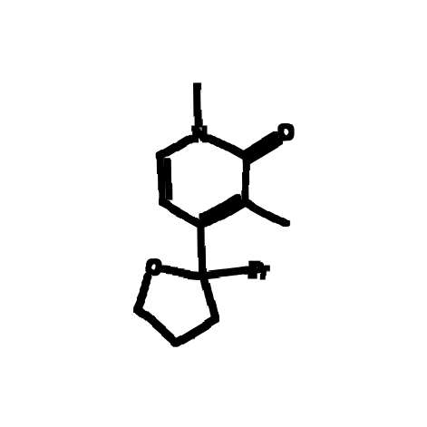 Cc1c(C2(C(C)C)CCCO2)ccn(C)c1=O